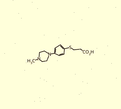 CN1CCN(c2ccc(SCCC(=O)O)cc2)CC1